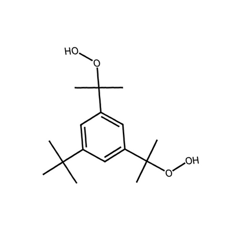 CC(C)(C)c1cc(C(C)(C)OO)cc(C(C)(C)OO)c1